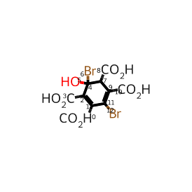 O=C(O)C1=C(C(=O)O)C(O)(Br)C(C(=O)O)C(C(=O)O)=C1Br